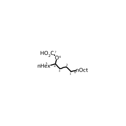 CCCCCCCCCCCC(CCCCCC)OC(=O)O